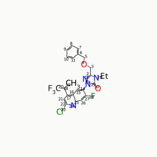 CCn1c(COCc2ccccc2)nn(-c2cc3c(C(C)C(F)(F)F)cc(Cl)nc3cc2F)c1=O